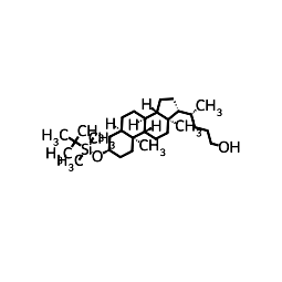 C[C@H](CCCO)[C@H]1CC[C@H]2[C@@H]3CC[C@@H]4C[C@H](O[Si](C)(C)C(C)(C)C)CC[C@]4(C)[C@H]3CC[C@]12C